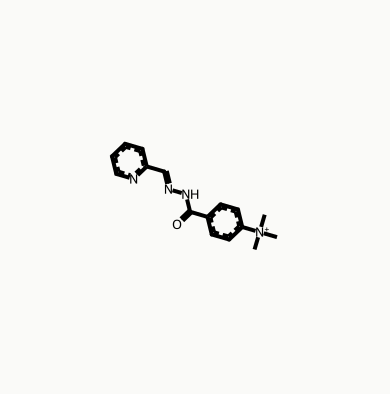 C[N+](C)(C)c1ccc(C(=O)N/N=C/c2ccccn2)cc1